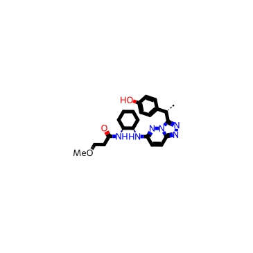 COCCC(=O)N[C@@H]1CCCC[C@@H]1Nc1ccc2nnc([C@@H](C)c3ccc(O)cc3)n2n1